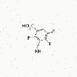 O=C(O)c1cc(F)c(F)c(F)c1F.[KH]